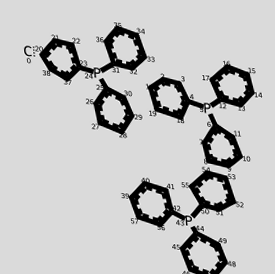 [C].c1ccc(P(c2ccccc2)c2ccccc2)cc1.c1ccc(P(c2ccccc2)c2ccccc2)cc1.c1ccc(P(c2ccccc2)c2ccccc2)cc1